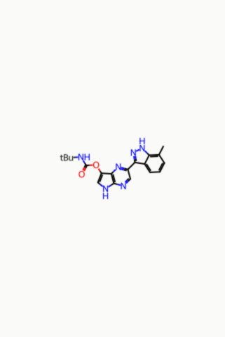 Cc1cccc2c(-c3cnc4[nH]cc(OC(=O)NC(C)(C)C)c4n3)n[nH]c12